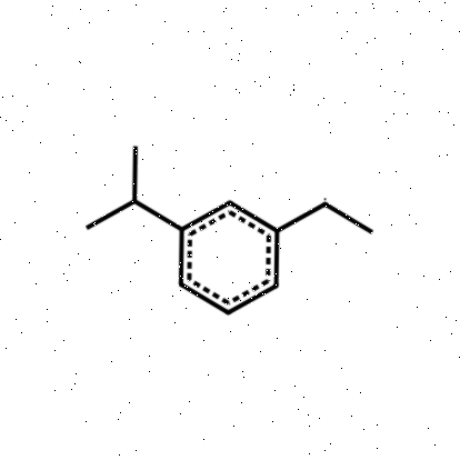 C[CH]c1cccc(C(C)C)c1